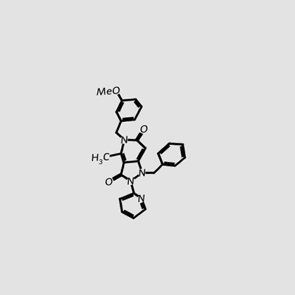 COc1cccc(Cn2c(C)c3c(=O)n(-c4ccccn4)n(Cc4ccccc4)c3cc2=O)c1